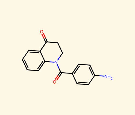 Nc1ccc(C(=O)N2CCC(=O)c3ccccc32)cc1